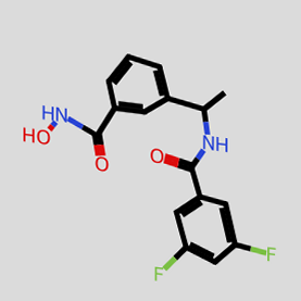 CC(NC(=O)c1cc(F)cc(F)c1)c1cccc(C(=O)NO)c1